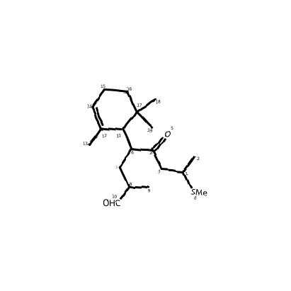 CSC(C)CC(=O)C(CC(C)C=O)C1C(C)=CCCC1(C)C